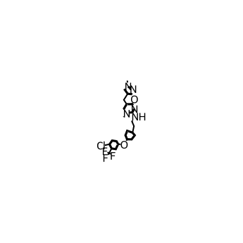 Cn1cc(Cc2cn(C)c(NCCc3ccc(Oc4ccc(Cl)c(C(F)(F)F)c4)cc3)nc2=O)cn1